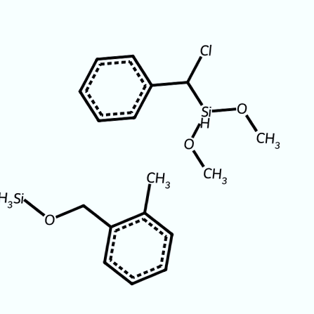 CO[SiH](OC)C(Cl)c1ccccc1.Cc1ccccc1CO[SiH3]